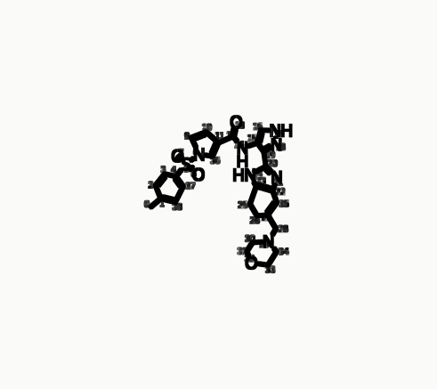 Cc1ccc(S(=O)(=O)n2ccc(C(=O)Nc3c[nH]nc3-c3nc4c([nH]3)CCC(CN3CCOCC3)=C4)c2)cc1